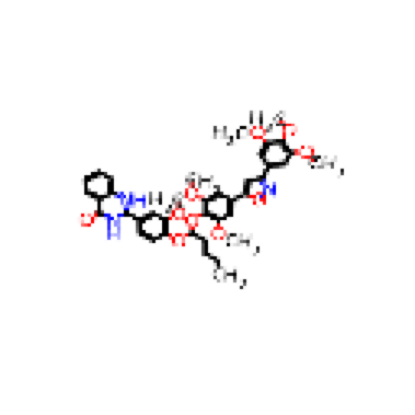 CCCCC(Oc1ccc(C2NC(=O)c3ccccc3N2)cc1OC)Oc1c(OC)cc(-c2cc(-c3cc(OC)c(OC)c(OC)c3)no2)cc1OC